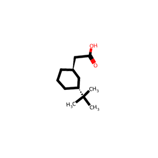 CC(C)(C)[C@@H]1CCC[C@@H](CC(=O)O)C1